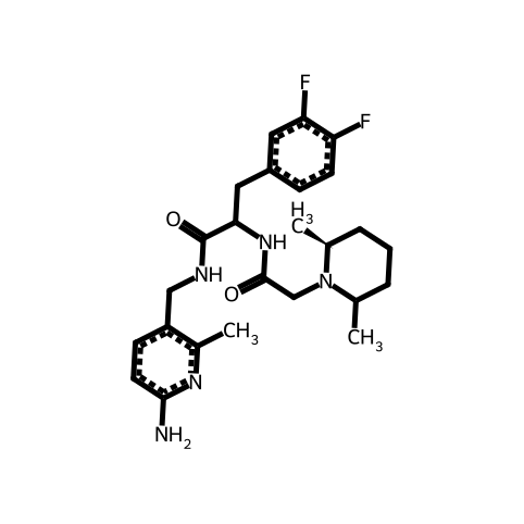 Cc1nc(N)ccc1CNC(=O)C(Cc1ccc(F)c(F)c1)NC(=O)CN1C(C)CCC[C@@H]1C